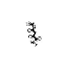 CN(C)C(=O)C(=O)CC(=O)OC(C)(C)C